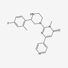 Cc1cc(F)ccc1C1CN(c2nc(-c3ccncc3)cc(=O)n2C)CCN1